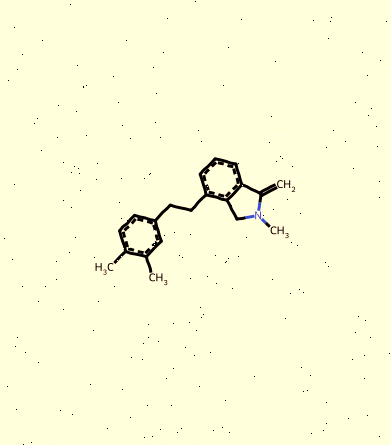 C=C1c2cccc(CCc3ccc(C)c(C)c3)c2CN1C